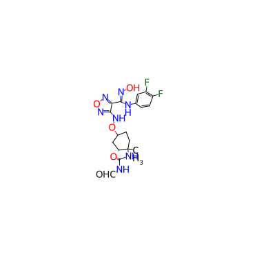 CC1(NC(=O)NC=O)CCC(ONc2nonc2/C(=N/O)Nc2ccc(F)c(F)c2)CC1